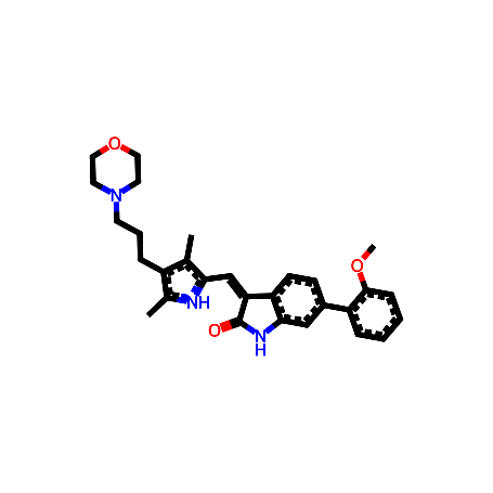 COc1ccccc1-c1ccc2c(c1)NC(=O)C2=Cc1[nH]c(C)c(CCCN2CCOCC2)c1C